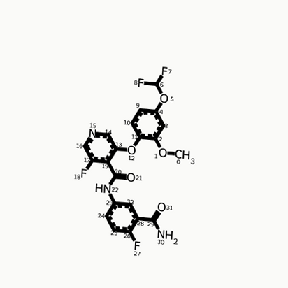 COc1cc(OC(F)F)ccc1Oc1cncc(F)c1C(=O)Nc1ccc(F)c(C(N)=O)c1